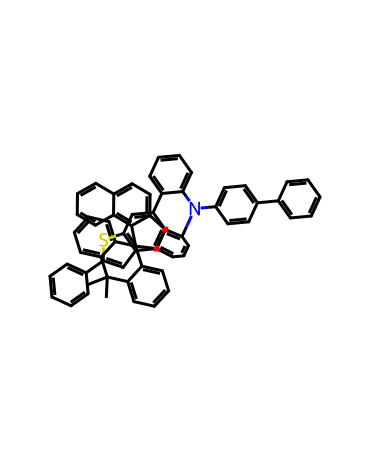 CC1(C)c2ccccc2C2(c3ccccc31)c1cccc(N(c3ccc(-c4ccccc4)cc3)c3ccccc3-c3ccc4cc(-c5ccccc5)sc4c3)c1-c1ccc3ccccc3c12